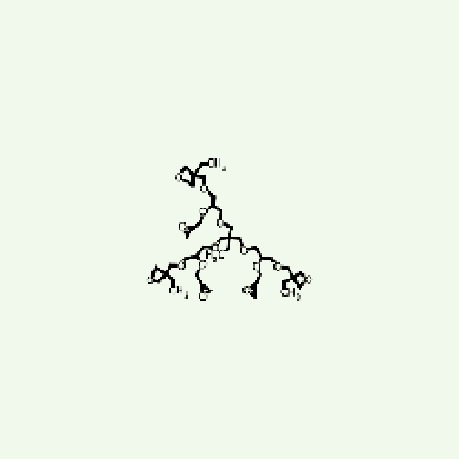 CCC(COCC(COCC1(CC)COC1)OCC1CO1)(COCC(COCC1(CC)COC1)OCC1CO1)COCC(COCC1(CC)COC1)OCC1CO1